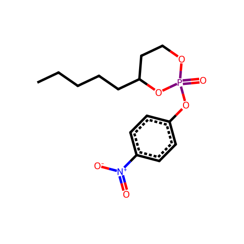 CCCCCC1CCOP(=O)(Oc2ccc([N+](=O)[O-])cc2)O1